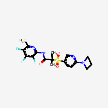 Cc1nc(NC(=O)C(C)(C)S(=O)(=O)c2ccc(N3CCC3)nc2)c(F)c(F)c1F